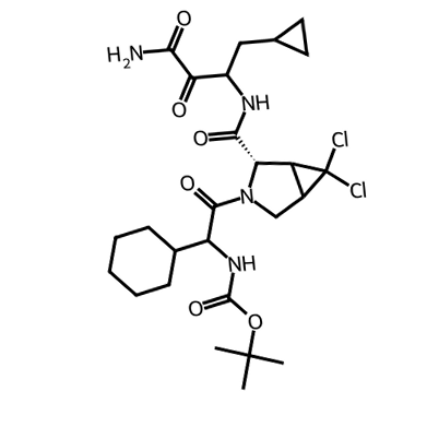 CC(C)(C)OC(=O)NC(C(=O)N1CC2C([C@H]1C(=O)NC(CC1CC1)C(=O)C(N)=O)C2(Cl)Cl)C1CCCCC1